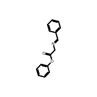 O=C(CN=Cc1ccccc1)Oc1ccccc1